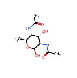 CC(=O)N[C@@H]1[C@H](O)[C@@H](NC(C)=O)C(O)O[C@H]1C